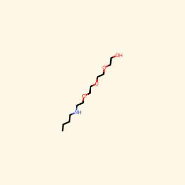 CCCCNCCOCCOCCOCCO